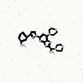 Cc1cccc(-c2ccn(-c3cc(N4CCOCC4)c4nc(C(C)N5CCOCC5)sc4n3)n2)c1